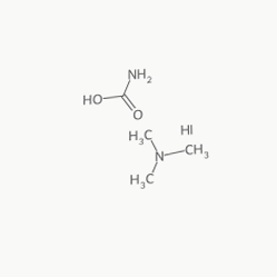 CN(C)C.I.NC(=O)O